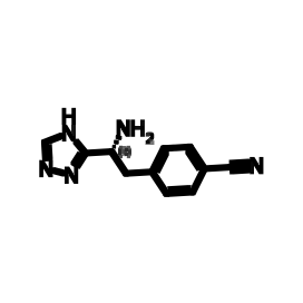 N#Cc1ccc(C[C@@H](N)c2nnc[nH]2)cc1